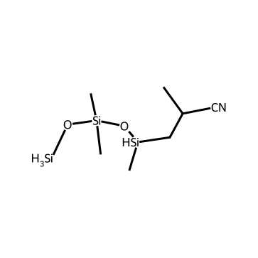 CC(C#N)C[SiH](C)O[Si](C)(C)O[SiH3]